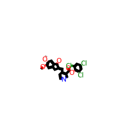 COc1cc2c(cc1OC)C(=O)/C(=C/c1ccncc1C(=O)Oc1c(Cl)cc(Cl)cc1Cl)C2